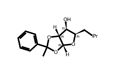 CC(C)C[C@H]1O[C@@H]2OC(C)(c3ccccc3)O[C@@H]2[C@H]1O